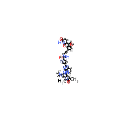 Cc1cc2c(N3CCCc4nc(-c5ccc(C(=O)NCC#Cc6ccc7occ(C8CCC(=O)NC8=O)c7c6)nc5)ncc43)nc(N3CCC3)cc2n(C)c1=O